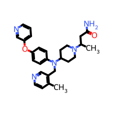 Cc1ccncc1CN(c1ccc(Oc2cccnc2)cc1)C1CCN(C(C)CC(N)=O)CC1